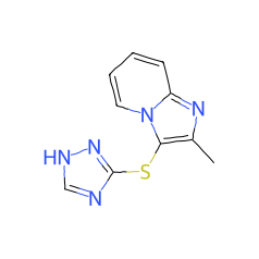 Cc1nc2ccccn2c1Sc1nc[nH]n1